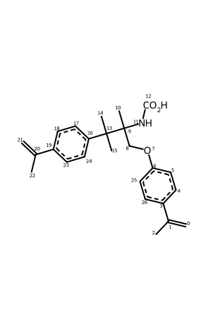 C=C(C)c1ccc(OCC(C)(NC(=O)O)C(C)(C)c2ccc(C(=C)C)cc2)cc1